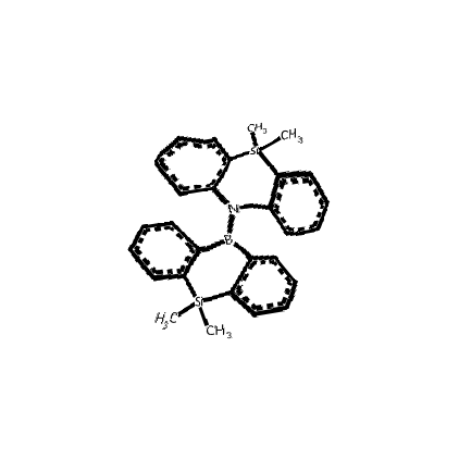 C[Si]1(C)c2ccccc2B(N2c3ccccc3[Si](C)(C)c3ccccc32)c2ccccc21